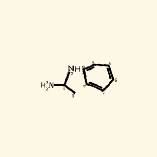 CC(N)N.c1ccccc1